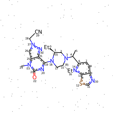 CC[C@H]1CN(C(C)c2ccc3ncsc3n2)[C@H](CC)CN1c1nc(=O)n(C)c2cn(CC#N)nc12